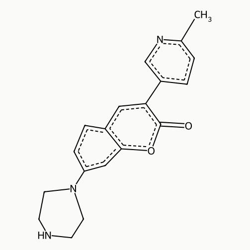 Cc1ccc(-c2cc3ccc(N4CCNCC4)cc3oc2=O)cn1